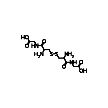 NC(CSSCC(N)C(=O)NCC(=O)O)C(=O)NCC(=O)O